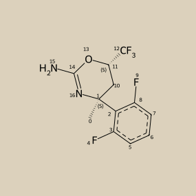 C[C@@]1(c2c(F)cccc2F)C[C@@H](C(F)(F)F)OC(N)=N1